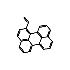 C=Cc1ccc2cccc3c4cccc5cccc(c1c23)c54